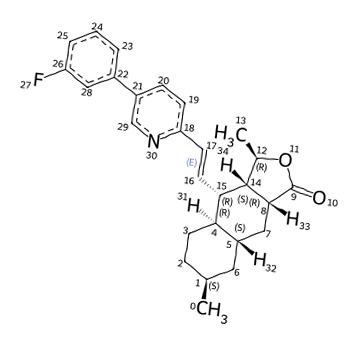 C[C@H]1CC[C@@H]2[C@@H](C1)C[C@H]1C(=O)O[C@H](C)[C@H]1[C@H]2/C=C/c1ccc(-c2cccc(F)c2)cn1